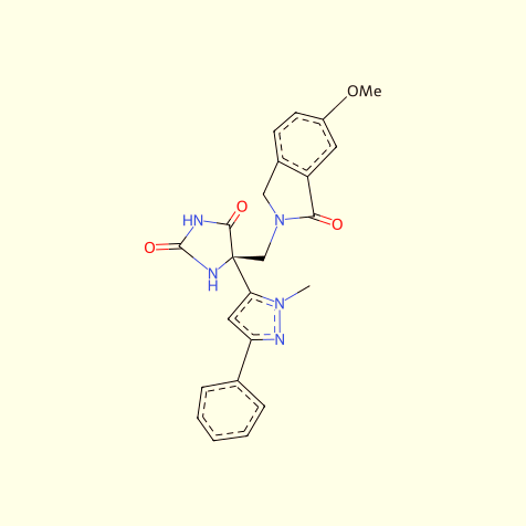 COc1ccc2c(c1)C(=O)N(C[C@@]1(c3cc(-c4ccccc4)nn3C)NC(=O)NC1=O)C2